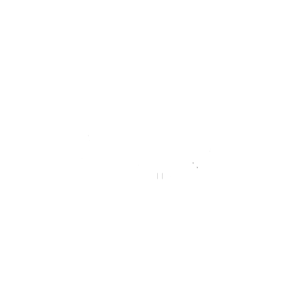 O=C1NC(O)(c2ccc3sc4ccccc4c3c2)c2ccccc21